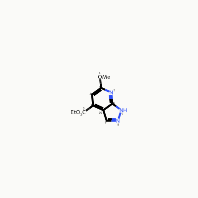 CCOC(=O)c1cc(OC)nc2[nH]ncc12